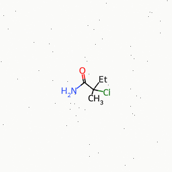 CCC(C)(Cl)C(N)=O